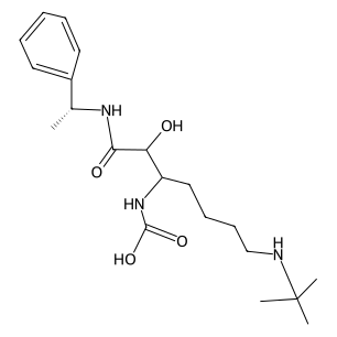 C[C@@H](NC(=O)C(O)C(CCCCNC(C)(C)C)NC(=O)O)c1ccccc1